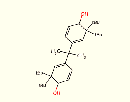 CC(C)(C1=CC(C(C)(C)C)(C(C)(C)C)C(O)C=C1)C1=CC(C(C)(C)C)(C(C)(C)C)C(O)C=C1